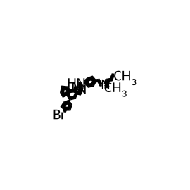 CCCCN(C)CCc1ccc(Nc2ncc3c(n2)-c2ccccc2[C@H](c2ccc(Br)cc2)C3)cc1